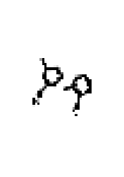 Cc1cccc(C#N)c1.Cc1ccccc1C#N